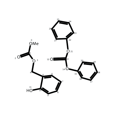 COC(=O)OCc1ccccc1O.O=C(Oc1ccccc1)Oc1ccccc1